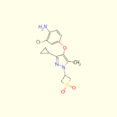 Cc1c(Oc2ccc(N)c(Cl)c2)c(C2CC2)nn1C1CS(=O)(=O)C1